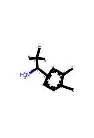 Cc1ccc(C(N)C(C)(C)C)cc1C